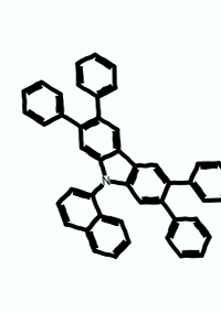 c1ccc(-c2cc3c4cc(-c5ccccc5)c(-c5ccccc5)cc4n(-c4cccc5ccccc45)c3cc2-c2ccccc2)cc1